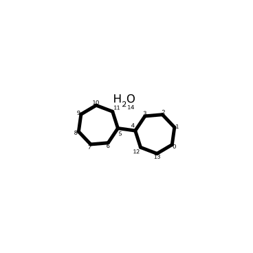 C1CCCC(C2CCCCCC2)CC1.O